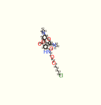 O=C(NCCOCCOCCCCCCCl)c1ccc2c(c1)C1(OC2=O)c2ccc(N3CCC3)cc2Oc2cc(N3CCC3)ccc21